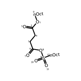 CCCCCCCCOC(=O)CCC(=O)OS(=O)(=O)CCCCCCCC